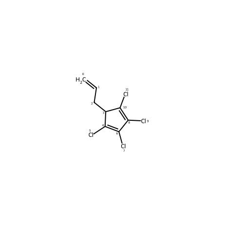 C=CCC1C(Cl)=C(Cl)C(Cl)=C1Cl